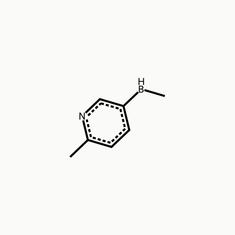 CBc1ccc(C)nc1